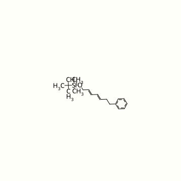 CC(C)(C)[Si](C)(C)OC/C=C/C=C/CCc1ccccc1